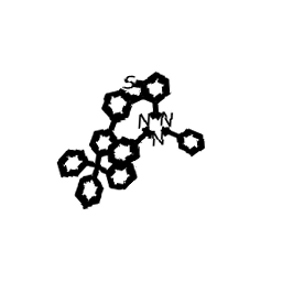 c1ccc(-c2nc(-c3ccccc3)nc(-c3cccc4sc5ccc(-c6ccc7c(c6)-c6ccccc6C7(c6ccccc6)c6ccccc6)cc5c34)n2)cc1